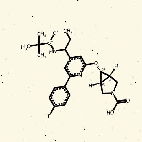 CCC(N[S+]([O-])C(C)(C)C)c1cc(O[C@@H]2[C@@H]3CN(C(=O)O)C[C@@H]32)nc(-c2ccc(F)cc2)c1